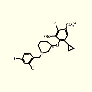 CC(C)(C)c1c(F)c(C(=O)O)cc(C2CC2)c1O[C@@H]1CCCN(Cc2ccc(F)cc2Cl)C1